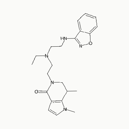 CCN(CCNc1noc2ccccc12)CCN1CC(C)c2c(ccn2C)C1=O